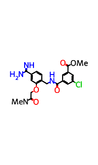 CNC(=O)COc1cc(C(=N)N)ccc1CNC(=O)c1cc(Cl)cc(C(=O)OC)c1